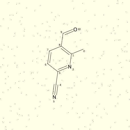 Cc1nc(C#N)ccc1C=O